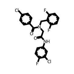 O=C(CN(Cc1c(F)cccc1F)C(=O)c1ccc(Cl)cc1)Nc1ccc(F)c(Cl)c1